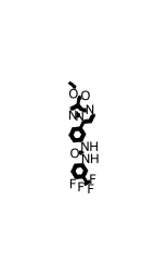 CCOC(=O)c1cnn2c(-c3cccc(NC(=O)Nc4ccc(F)c(C(F)(F)F)c4)c3)ccnc12